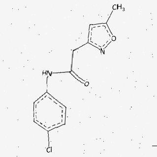 Cc1cc(CC(=O)Nc2ccc(Cl)cc2)no1